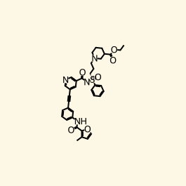 CCOC(=O)C1CCCN(CCC[S@@](=O)(=NC(=O)c2cncc(C#Cc3cccc(NC(=O)c4occc4C)c3)c2)c2ccccc2)C1